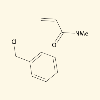 C=CC(=O)NC.ClCc1ccccc1